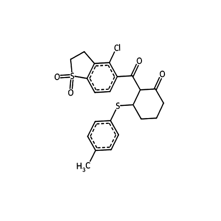 Cc1ccc(SC2CCCC(=O)C2C(=O)c2ccc3c(c2Cl)CCS3(=O)=O)cc1